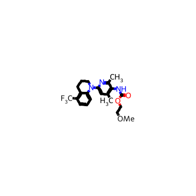 COCCOC(=O)Nc1c(C)cc(N2CCCc3c2cccc3C(F)(F)F)nc1C